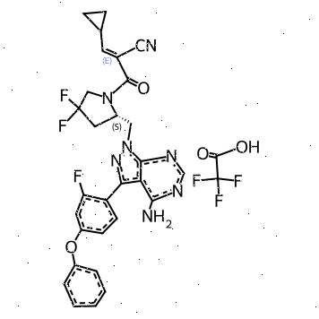 N#C/C(=C\C1CC1)C(=O)N1CC(F)(F)C[C@H]1Cn1nc(-c2ccc(Oc3ccccc3)cc2F)c2c(N)ncnc21.O=C(O)C(F)(F)F